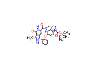 Cc1[nH]c(-c2ccccc2Oc2ccccc2)c2cc(C(=O)NCC3CCN(C(=O)OC(C)(C)C)C3)[nH]c(=O)c12